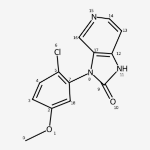 COc1ccc(Cl)c(-n2c(=O)[nH]c3ccncc32)c1